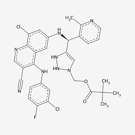 Cc1ncccc1[C@H](Nc1cc(Cl)c2ncc(C#N)c(Nc3ccc(F)c(Cl)c3)c2c1)C1=CN(COC(=O)C(C)(C)C)NN1